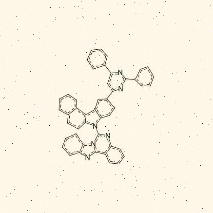 c1ccc(-c2cc(-c3ccc4c(c3)c3c5ccccc5ccc3n4-c3nc4ccccc4c4nc5ccccc5n34)nc(-c3ccccc3)n2)cc1